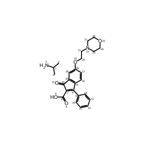 CC(C)N.O=C(O)C1=C(c2ccccc2)c2ccc(OCCN3CCOCC3)cc2C1=O